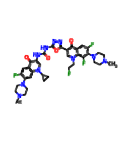 CC(=O)N1CCN(c2cc3c(cc2F)c(=O)c(NC(=O)Nc2nnc(-c4cn(CCF)c5c(F)c(N6CCN(C)CC6)c(F)cc5c4=O)o2)cn3C2CC2)CC1